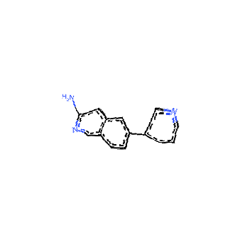 Nc1cc2cc(-c3cccnc3)ccc2cn1